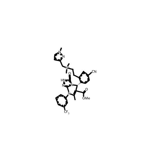 COC(=O)C1=C(C)N(c2cccc(C(F)(F)F)c2)c2n[nH]c(=O)n2[C@@H]1c1ccc(C#N)cc1CC[N+](C)(C)Cc1ccn(C)n1